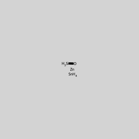 O=[SiH2].[SnH4].[Zn]